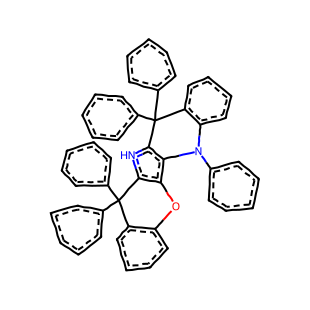 c1ccc(N2c3ccccc3C(c3ccccc3)(c3ccccc3)c3[nH]c4c(c32)Oc2ccccc2C4(c2ccccc2)c2ccccc2)cc1